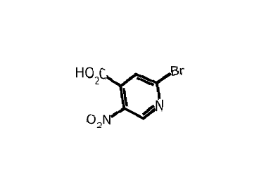 O=C(O)c1cc(Br)ncc1[N+](=O)[O-]